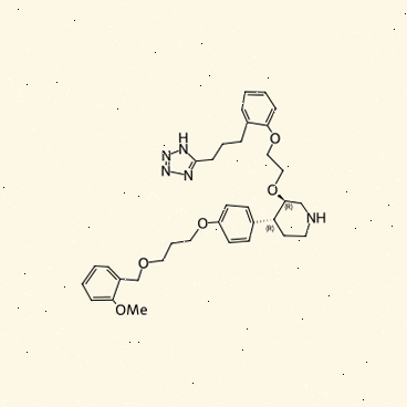 COc1ccccc1COCCCOc1ccc([C@H]2CCNC[C@@H]2OCCOc2ccccc2CCCc2nnn[nH]2)cc1